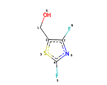 OCc1sc(F)nc1F